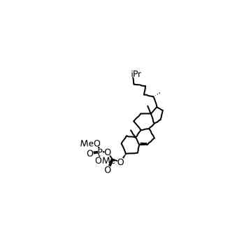 COP(=O)(OC)OC(=O)O[C@H]1CCC2(C)C(=CCC3C2CCC2(C)C3CCC2[C@@H](C)CCCC(C)C)C1